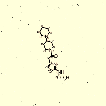 O=C(O)Nc1nc(CC(=O)N2CCC(N3CCCCC3)CC2)cs1